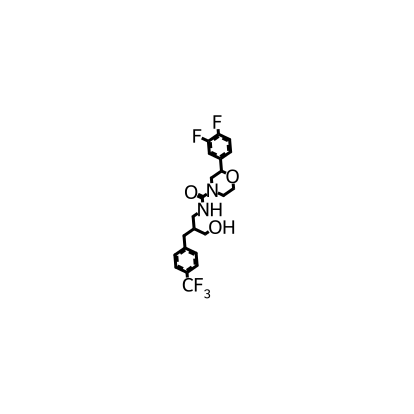 O=C(NCC(CO)Cc1ccc(C(F)(F)F)cc1)N1CCOC(c2ccc(F)c(F)c2)C1